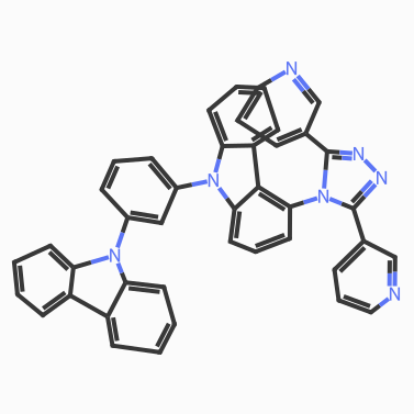 c1cncc(-c2nnc(-c3cccnc3)n2-c2cccc3c2c2ccccc2n3-c2cccc(-n3c4ccccc4c4ccccc43)c2)c1